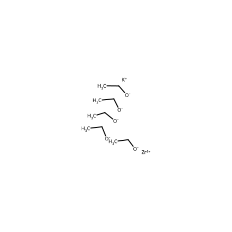 CC[O-].CC[O-].CC[O-].CC[O-].CC[O-].[K+].[Zr+4]